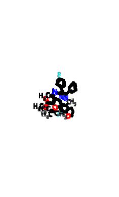 COC(=O)C(OC(C)(C)C)c1c(C)nc2c(-c3ccc(F)cc3)c(-c3ccccc3)nn2c1-c1cc(F)c2c(c1C)CCCO2